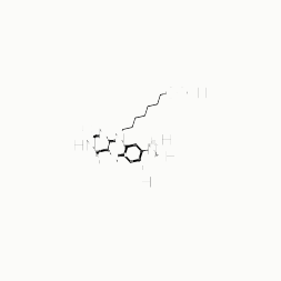 Cc1cc2nc3c(=O)[nH]c(=O)nc-3n(CCCCCCCC(=O)O)c2cc1N(C)C